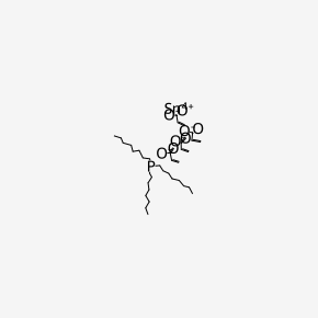 C=CC(=O)[O-].C=CC(=O)[O-].C=CC(=O)[O-].C=CC(=O)[O-].CCCCCCCCP(CCCCCCCC)CCCCCCCC.[Sn+4]